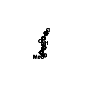 COC(=O)c1cccc(N2CCCC(CNC(=O)c3ccc(-c4ccc(Cl)cc4)cc3)C2)c1